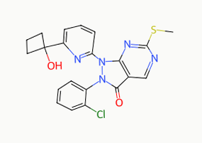 CSc1ncc2c(=O)n(-c3ccccc3Cl)n(-c3cccc(C4(O)CCC4)n3)c2n1